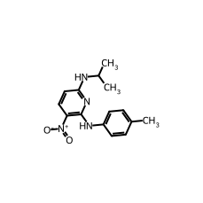 Cc1ccc(Nc2nc(NC(C)C)ccc2[N+](=O)[O-])cc1